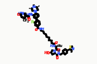 Cc1ncsc1-c1ccc(CNC(=O)[C@@H]2C[C@@H](O)CN2C(=O)[C@@H](NC(=O)CCCCCCCCCNC(=O)c2ccc(-c3ccc(N4C[C@@H](C)N(C)[C@@H](C)C4)c(NC(=O)c4c[nH]c(=O)cc4C(F)(F)F)c3)c(F)c2)C(C)(C)C)cc1